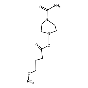 NC(=O)N1CCN(OC(=O)CCCO[N+](=O)[O-])CC1